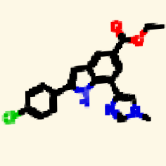 CCOC(=O)c1cc(-c2cn(C)cn2)c2[nH]c(-c3ccc(Cl)cc3)cc2c1